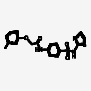 Cc1cccc(OCC(=O)Nc2ccc(S(=O)(=O)Nc3nccs3)cc2)c1